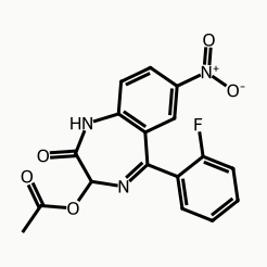 CC(=O)OC1N=C(c2ccccc2F)c2cc([N+](=O)[O-])ccc2NC1=O